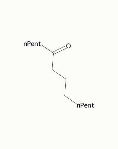 [CH2]CCCCCCCC(=O)CCCCC